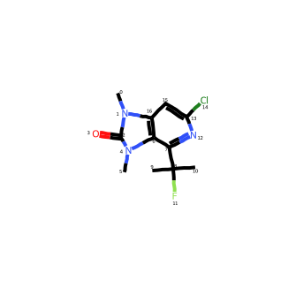 Cn1c(=O)n(C)c2c(C(C)(C)F)nc(Cl)cc21